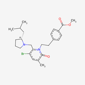 COC(=O)c1ccc(CCn2c(CN3CCC[C@@H]3CC(C)C)c(Br)cc(C)c2=O)cc1